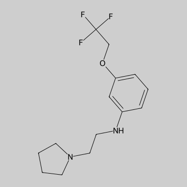 FC(F)(F)COc1cccc(NCCN2CCCC2)c1